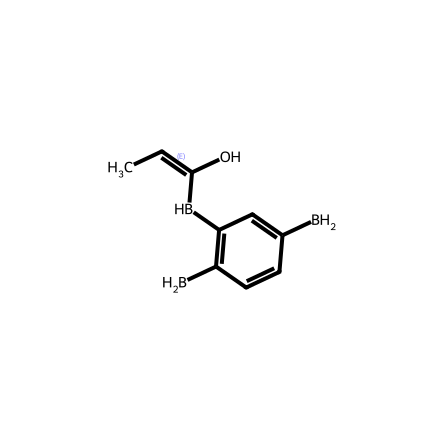 Bc1ccc(B)c(B/C(O)=C\C)c1